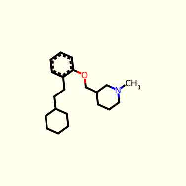 CN1CCCC(COc2ccccc2CCC2CCCCC2)C1